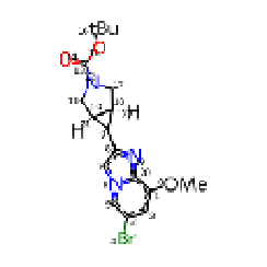 COc1cc(Br)cn2cc(C3[C@H]4CN(C(=O)OC(C)(C)C)C[C@@H]34)nc12